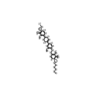 CCCCCCOc1ccc(CCc2ccc(C3=CCC(c4ccc(OCC)c(F)c4F)CC3)cc2F)c(F)c1F